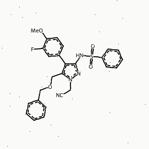 COc1ccc(-c2c(NS(=O)(=O)c3ccccc3)nn(CC#N)c2COCc2ccccc2)cc1F